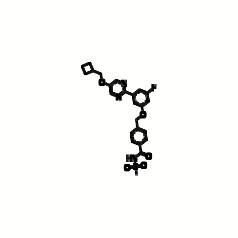 CS(=O)(=O)NC(=O)c1ccc(COc2cc(F)cc(-c3ncc(OCC4CCC4)cn3)c2)cc1